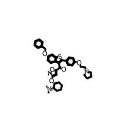 CN(C)[C@@H]1CCCC[C@H]1Oc1cc(C(=O)c2c(-c3ccc(OCCN4CCCC4)cc3)sc3cc(OCc4ccccc4)ccc23)on1